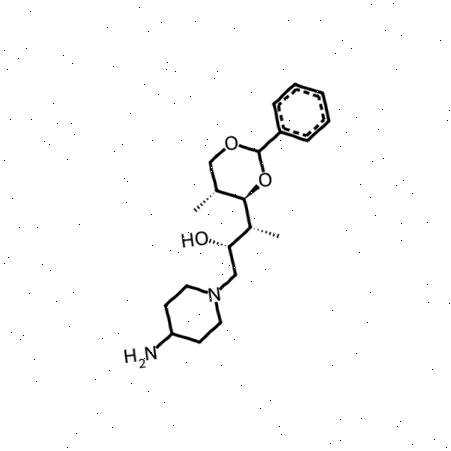 C[C@@H]([C@@H]1OC(c2ccccc2)OC[C@H]1C)[C@@H](O)CN1CCC(N)CC1